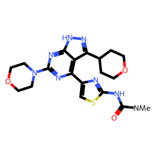 CNC(=O)Nc1nc(-c2nc(N3CCOCC3)nc3[nH]nc(C4CCOCC4)c23)cs1